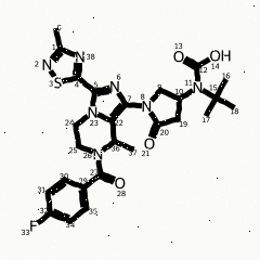 Cc1nsc(-c2nc(N3CC(N(C(=O)O)C(C)(C)C)CC3=O)c3n2CCN(C(=O)c2ccc(F)cc2)C3C)n1